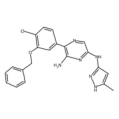 Cc1cc(Nc2cnc(-c3ccc(Cl)c(OCc4ccccc4)c3)c(N)n2)n[nH]1